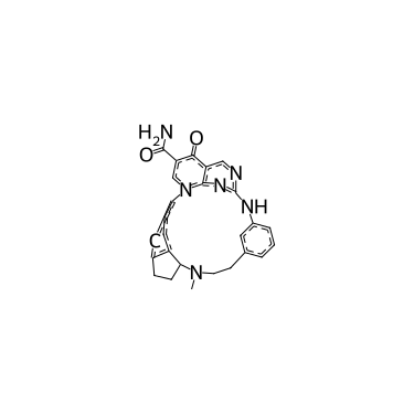 CN1CCc2cccc(c2)Nc2ncc3c(=O)c(C(N)=O)cn(c3n2)-c2ccc3c(c2)CCC31